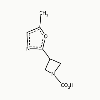 Cc1cnc(C2CN(C(=O)O)C2)o1